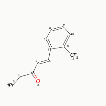 C[C](C)CC(=O)/C=C/c1ccccc1C(F)(F)F